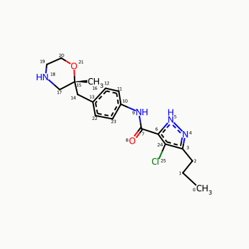 CCCc1n[nH]c(C(=O)Nc2ccc(C[C@]3(C)CNCCO3)cc2)c1Cl